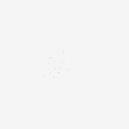 CCN(CC)CCC/C=C/c1cc2ncc(C#N)c(Nc3ccc(Sc4nccn4C)c(Cl)c3)c2cc1OC